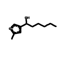 CCCCCC(O)c1coc(C)c1